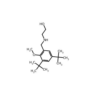 COc1c(CNCCO)cc(C(C)(C)C)cc1C(C)(C)C